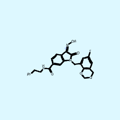 CC(C)CCNC(=O)c1ccc2c(c1)N(Cc1cc(F)cc3c1OCOC3)C(=O)/C2=N\O